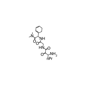 CCCC(N)C(=O)C(=O)NCC(=O)NC(C(=O)N(C)C)C1=CC=CCC1